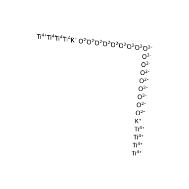 [K+].[K+].[O-2].[O-2].[O-2].[O-2].[O-2].[O-2].[O-2].[O-2].[O-2].[O-2].[O-2].[O-2].[O-2].[O-2].[O-2].[O-2].[O-2].[Ti+4].[Ti+4].[Ti+4].[Ti+4].[Ti+4].[Ti+4].[Ti+4].[Ti+4]